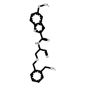 CCc1ccccc1COCC(C=O)NC(=O)c1cc2cc(OC)ccc2o1